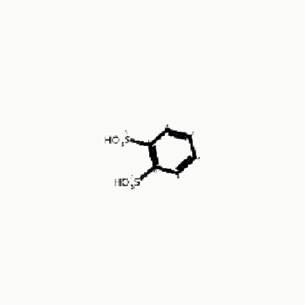 O=S(=O)(O)c1[c]cccc1S(=O)(=O)O